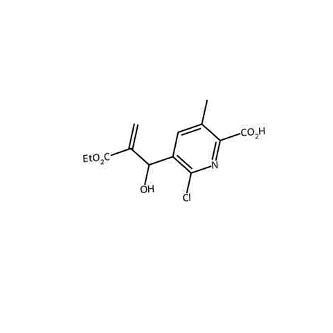 C=C(C(=O)OCC)C(O)c1cc(C)c(C(=O)O)nc1Cl